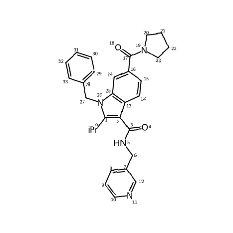 CC(C)c1c(C(=O)NCc2cccnc2)c2ccc(C(=O)N3CCCC3)cc2n1Cc1ccccc1